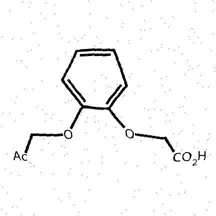 CC(=O)COc1ccccc1OCC(=O)O